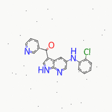 O=C(c1cccnc1)c1c[nH]c2ncc(Nc3ccccc3Cl)cc12